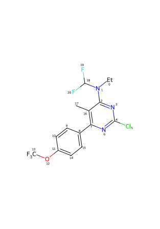 CCN(c1nc(Cl)nc(-c2ccc(OC(F)(F)F)cc2)c1C)C(F)F